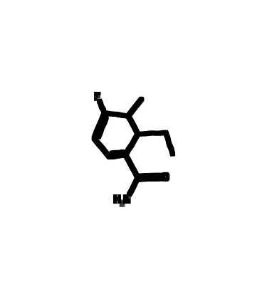 CCC1C(C(N)=O)=CC=C(F)C1C